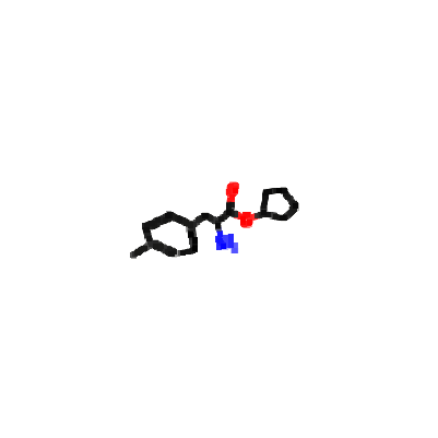 Cc1ccc(CC(N)C(=O)OC2CCCC2)cc1